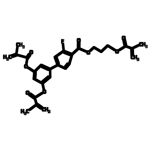 C=C(C)C(=O)OCCCOC(=O)c1ccc(-c2cc(OC(=O)C(=C)C)cc(OC(=O)C(=C)C)c2)cc1F